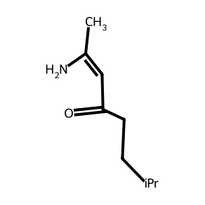 CC(N)=CC(=O)CCC(C)C